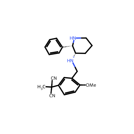 COc1ccc(C(C)(C#N)C#N)cc1CN[C@H]1CCCN[C@H]1c1ccccc1